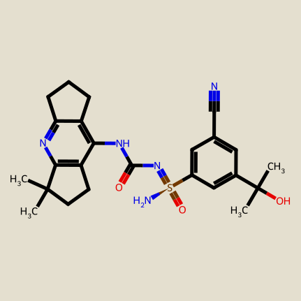 CC(C)(O)c1cc(C#N)cc([S@](N)(=O)=NC(=O)Nc2c3c(nc4c2CCC4(C)C)CCC3)c1